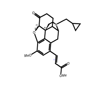 COC(=O)/C=C/c1cc(OC)c2c3c1CC1C4CCC(=O)[C@@H](O2)[C@@]34CCN1CC1CC1